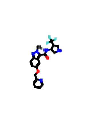 Cn1nc2ccc(OCc3ccccn3)cc2c1C(=O)N[C@@H]1CNC[C@@H]1C(F)(F)F